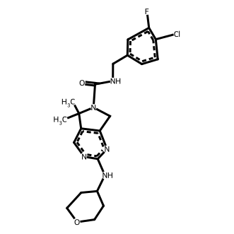 CC1(C)c2cnc(NC3CCOCC3)nc2CN1C(=O)NCc1ccc(Cl)c(F)c1